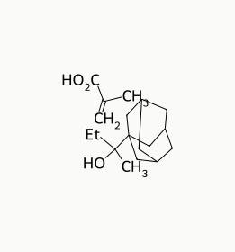 C=C(C)C(=O)O.CCC(C)(O)C12CC3CC(CC(C3)C1)C2